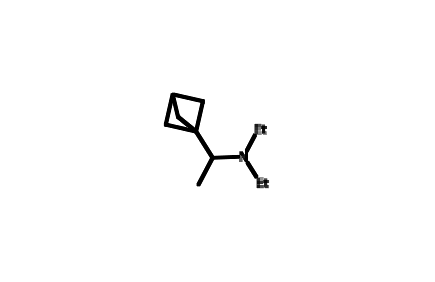 CCN(CC)C(C)C12CC(C1)C2